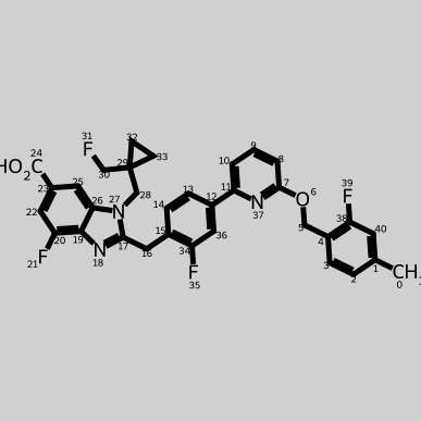 Cc1ccc(COc2cccc(-c3ccc(Cc4nc5c(F)cc(C(=O)O)cc5n4CC4(CF)CC4)c(F)c3)n2)c(F)c1